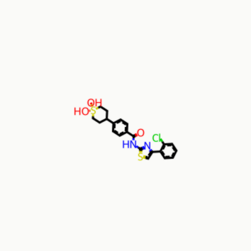 O=C(Nc1nc(-c2ccccc2Cl)cs1)c1ccc(C2CCS(O)(O)CC2)cc1